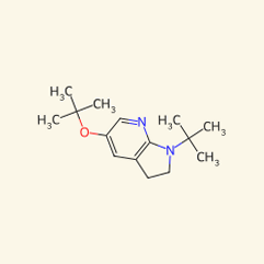 CC(C)(C)Oc1cnc2c(c1)CCN2C(C)(C)C